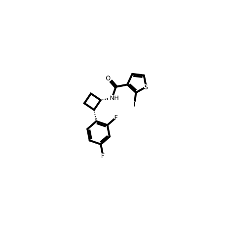 O=C(N[C@H]1CC[C@H]1c1ccc(F)cc1F)c1ccsc1I